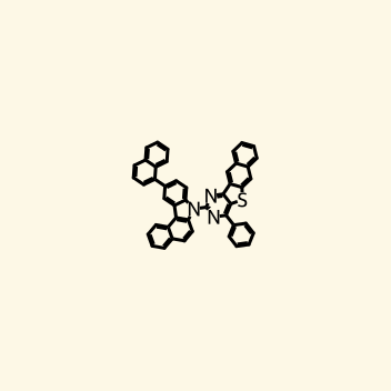 c1ccc(-c2nc(-n3c4ccc(-c5cccc6ccccc56)cc4c4c5ccccc5ccc43)nc3c2sc2cc4ccccc4cc23)cc1